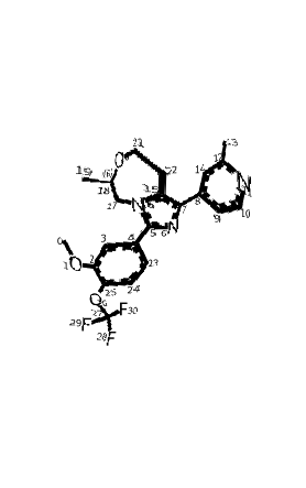 COc1cc(-c2nc(-c3ccnc(C)c3)c3n2C[C@@H](C)OCC3)ccc1OC(F)(F)F